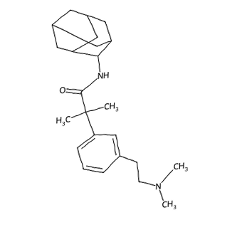 CN(C)CCc1cccc(C(C)(C)C(=O)NC2C3CC4CC(C3)CC2C4)c1